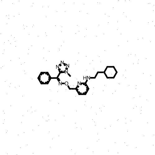 Cn1nnnc1C(=NOCc1cccc(NCCC2CCCCC2)n1)c1ccccc1